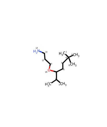 CC(C)C(CCC(C)(C)C)OCCCN